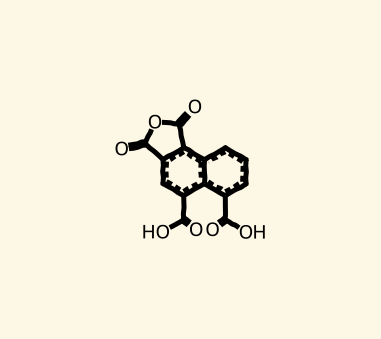 O=C1OC(=O)c2c1cc(C(=O)O)c1c(C(=O)O)cccc21